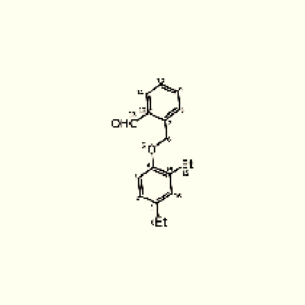 CCc1ccc(OCc2ccccc2C=O)c(CC)c1